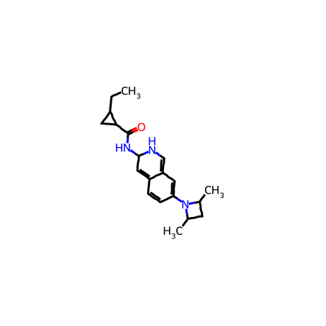 CCC1CC1C(=O)NC1C=c2ccc(N3C(C)CC3C)cc2=CN1